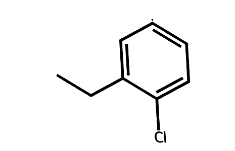 CCc1c[c]ccc1Cl